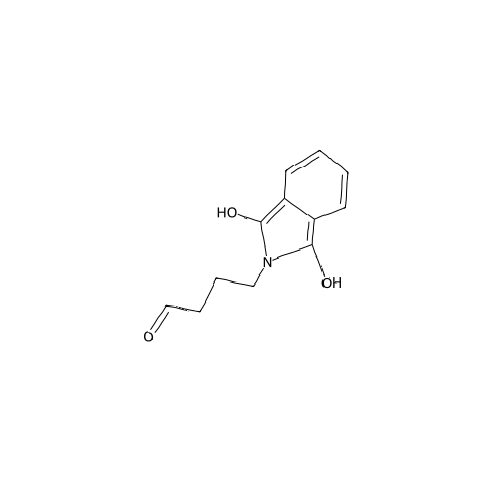 O=CCCCn1c(O)c2ccccc2c1O